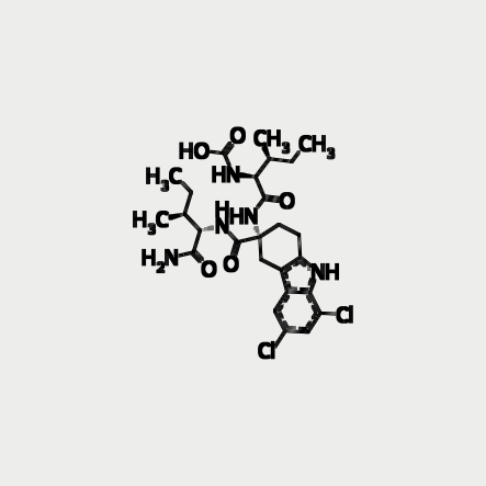 CC[C@H](C)[C@H](NC(=O)[C@@]1(NC(=O)[C@@H](NC(=O)O)[C@@H](C)CC)CCc2[nH]c3c(Cl)cc(Cl)cc3c2C1)C(N)=O